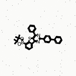 CC1(C)OB(c2cccc3c2sc2c(-c4ccccc4)nc(-c4ccc(-c5ccccc5)cc4)nc23)OC1(C)C